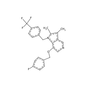 Cc1c(C)n(Cc2ccc(C(F)(F)F)cc2)c2c(OCc3ccc(F)cc3)cncc12